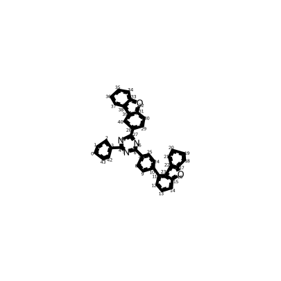 c1ccc(-c2nc(-c3ccc(-c4cccc5oc6ccccc6c45)cc3)nc(-c3ccc4oc5ccccc5c4c3)n2)cc1